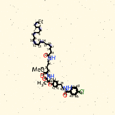 CC/C=C\C/C=C\C/C=C\C/C=C\C/C=C\C/C=C\CCC(=O)NCCCCC(NC(=O)C(C)(C)Oc1ccc(CCNC(=O)c2ccc(Cl)cc2)cc1)C(=O)OC